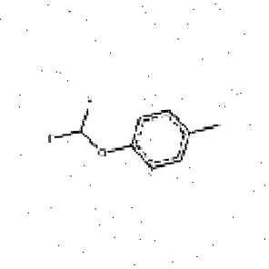 Cc1c[c]c(OC(F)F)cc1